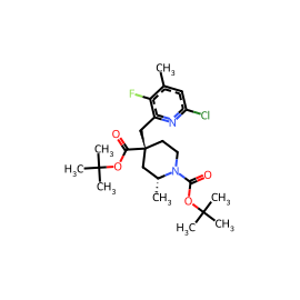 Cc1cc(Cl)nc(C[C@@]2(C(=O)OC(C)(C)C)CCN(C(=O)OC(C)(C)C)[C@H](C)C2)c1F